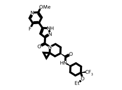 CCO[C@]1(C(F)(F)F)CC[C@@H](NC(=O)[C@@H]2CCN(C(=O)c3cc(-c4cc(OC)ncc4F)[nH]n3)C3(CC3)C2)CC1